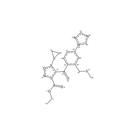 CCOC(=O)c1noc(C2CC2)c1C(=O)c1ccc(-n2cncn2)cc1CSC